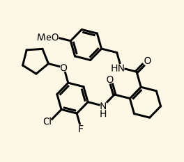 COc1ccc(CNC(=O)C2=C(C(=O)Nc3cc(OC4CCCC4)cc(Cl)c3F)CCCC2)cc1